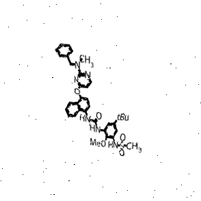 COc1c(NC(=O)Nc2ccc(Oc3ccnc(N(C)Cc4ccccc4)n3)c3ccccc23)cc(C(C)(C)C)cc1NS(C)(=O)=O